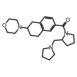 O=C(c1ccc2c(c1)CCC(N1CCOCC1)C2)N1CCCC1CN1CCCC1